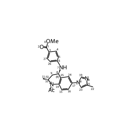 COC(=O)c1ccc(N[C@@H]2C[C@H](C)N(C(C)=O)c3ccc(-n4cnc(C)c4)cc32)cc1